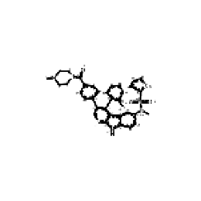 CN1CCN(C(=O)c2ccc(-c3cnc4[nH]c5ccc(N(C)S(=O)(=O)c6cccs6)cc5c4c3-c3ccccc3F)cc2)CC1